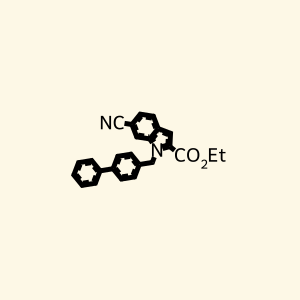 CCOC(=O)c1cc2ccc(C#N)cc2n1Cc1ccc(-c2ccccc2)cc1